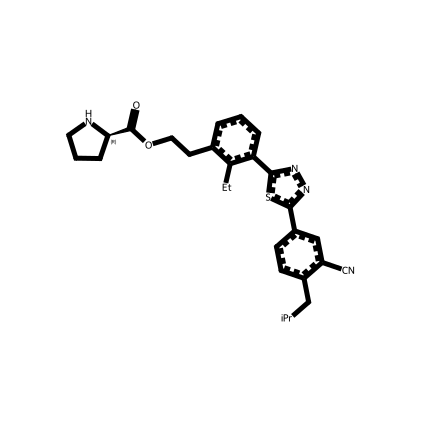 CCc1c(CCOC(=O)[C@H]2CCCN2)cccc1-c1nnc(-c2ccc(CC(C)C)c(C#N)c2)s1